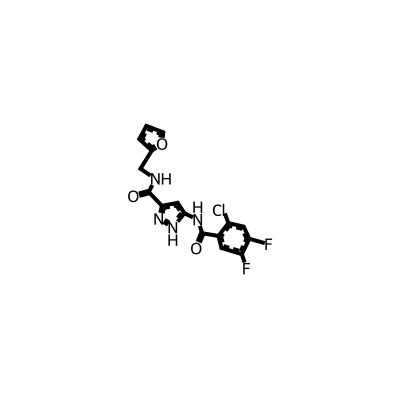 O=C(NCc1ccco1)c1cc(NC(=O)c2cc(F)c(F)cc2Cl)[nH]n1